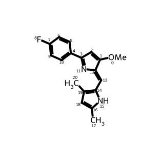 COC1=CC(c2ccc(F)cc2)=NC1=Cc1[nH]c(C)cc1C